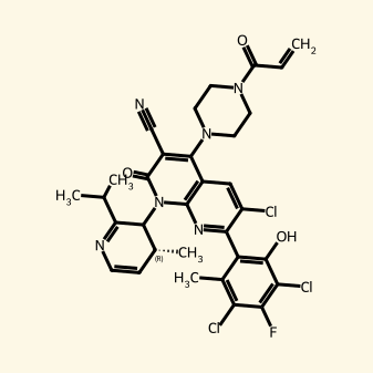 C=CC(=O)N1CCN(c2c(C#N)c(=O)n(C3C(C(C)C)=NC=C[C@H]3C)c3nc(-c4c(C)c(Cl)c(F)c(Cl)c4O)c(Cl)cc23)CC1